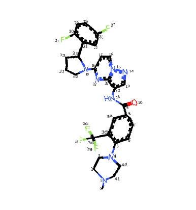 CN1CCN(c2ccc(C(=O)Nc3cnn4ccc(N5CCCC5c5cc(F)ccc5F)nc34)cc2C(F)(F)F)CC1